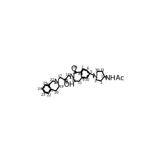 CC(=O)NC1CCN(c2ccc3c(c2)CCN(C[C@H](O)CN2CCc4ccccc4C2)C3=O)CC1